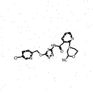 N#CC1CN(c2ncccc2C(=O)Nc2nnc(OCc3ccc(Cl)cn3)s2)CCO1